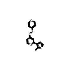 Cc1sccc1C1C=C(SSC2=CCOC=C2)C=CO1